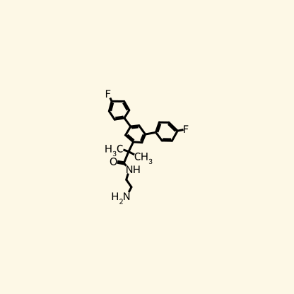 CC(C)(C(=O)NCCN)c1cc(-c2ccc(F)cc2)cc(-c2ccc(F)cc2)c1